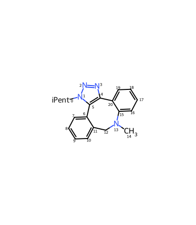 CCCC(C)n1nnc2c1-c1ccccc1CN(C)c1ccccc1-2